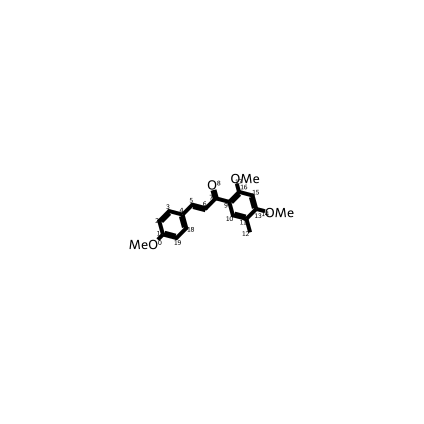 COc1ccc(/C=C/C(=O)c2cc(C)c(OC)cc2OC)cc1